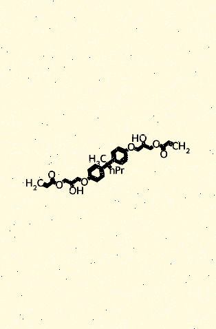 C=CC(=O)OCC(O)COc1c#cc(C(C)(CCC)c2ccc(OCC(O)COC(=O)C=C)cc2)cc1